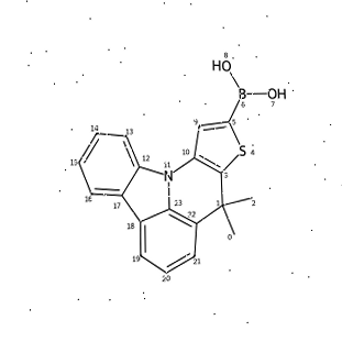 CC1(C)c2sc(B(O)O)cc2-n2c3ccccc3c3cccc1c32